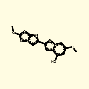 COc1cc(O)c2cc(-c3cn4nc(OC)sc4n3)nn2c1